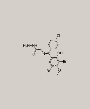 COc1c(Br)cc(C(=NCC(=O)NN)c2ccc(Cl)cc2)c(O)c1Br